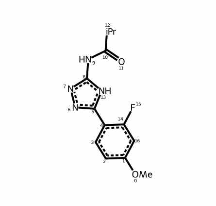 COc1ccc(-c2nnc(NC(=O)C(C)C)[nH]2)c(F)c1